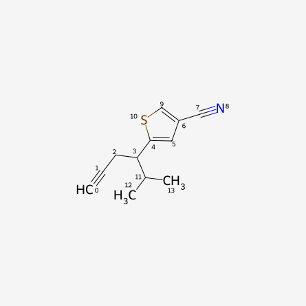 C#CCC(c1cc(C#N)cs1)C(C)C